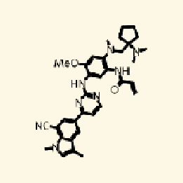 C=CC(=O)Nc1cc(Nc2nccc(-c3cc(C#N)c4c(c3)c(C)cn4C)n2)c(OC)cc1N(C)CC1(N(C)C)CCCC1